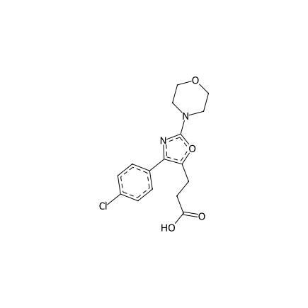 O=C(O)CCc1oc(N2CCOCC2)nc1-c1ccc(Cl)cc1